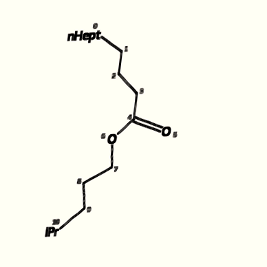 CCCCCCCCCCC(=O)OCCCC(C)C